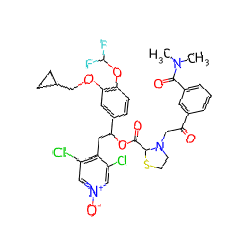 CN(C)C(=O)c1cccc(C(=O)CN2CCSC2C(=O)OC(Cc2c(Cl)c[n+]([O-])cc2Cl)c2ccc(OC(F)F)c(OCC3CC3)c2)c1